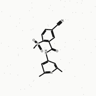 Cc1cc(NC(=O)c2cc(C#N)ccc2S(C)(=O)=O)cc(C)n1